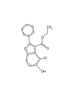 CCOC(=O)c1c(-c2ccccc2)oc2ccc(O)c(Cl)c12